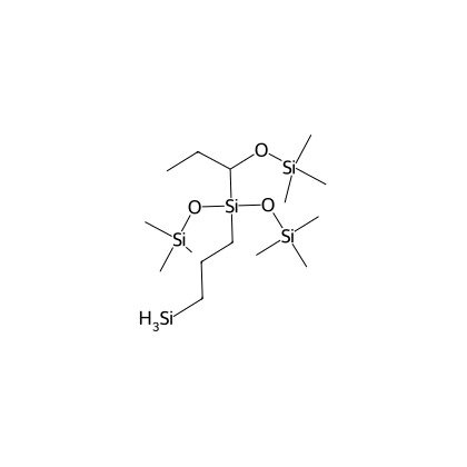 CCC(O[Si](C)(C)C)[Si](CCC[SiH3])(O[Si](C)(C)C)O[Si](C)(C)C